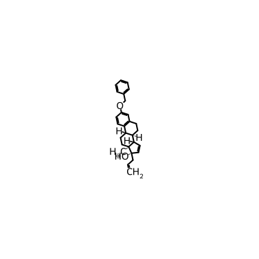 C=CC[C@]1(O)C=C[C@H]2[C@@H]3CCc4cc(OCc5ccccc5)ccc4[C@H]3CC[C@@]21C